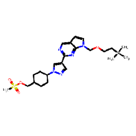 C[Si](C)(C)CCOCn1ccc2cnc(-c3cnn(C4CCC(COS(C)(=O)=O)CC4)c3)nc21